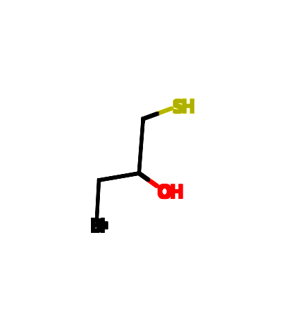 OC(CS)[CH2][Bi]